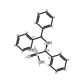 O=P(O)(O)[C@@H](NC(c1ccccc1)c1ccccc1)c1ccccc1